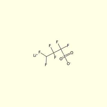 O=S(=O)([O-])C(F)(F)C(F)(F)C(F)F.[Li+]